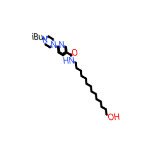 CCC(C)N1CCN(c2ccc(C(=O)NCCCCCCCCCCCCCCO)cn2)CC1